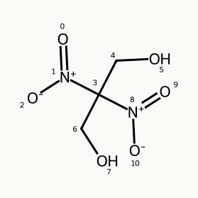 O=[N+]([O-])C(CO)(CO)[N+](=O)[O-]